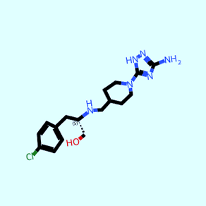 Nc1n[nH]c(N2CCC(CN[C@H](CO)Cc3ccc(Cl)cc3)CC2)n1